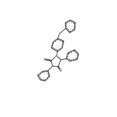 O=C1C(c2ccccc2)N(c2ccc(Oc3ccccc3)cc2)C(=S)N1c1ccccc1